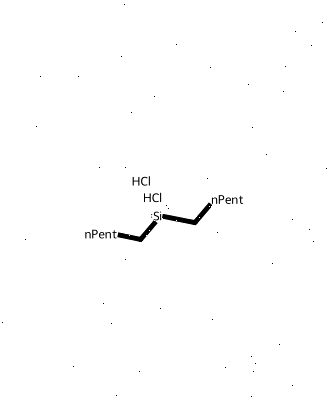 CCCCCC[Si]CCCCCC.Cl.Cl